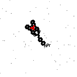 CCCC1CCC(C2CCC(CCC3COc4ccc5ccc(-c6ccc7ccccc7c6)cc5c4-c4c(ccc5ccc(-c6ccc7ccccc7c6)cc45)OC3)CC2)CC1